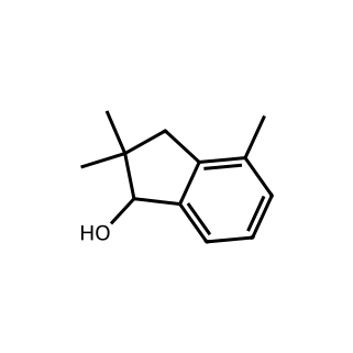 Cc1cccc2c1CC(C)(C)C2O